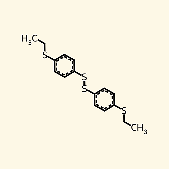 CCSc1ccc(SSc2ccc(SCC)cc2)cc1